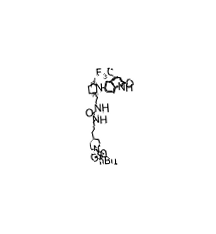 CCCCS(=O)(=O)N1CCC(CCCNC(=O)NCC[C@H]2CC[C@@H](C)N2c2ccc3[nH]c(=O)cc(C(F)(F)F)c3c2)CC1